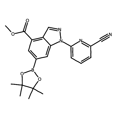 COC(=O)c1cc(B2OC(C)(C)C(C)(C)O2)cc2c1cnn2-c1cccc(C#N)n1